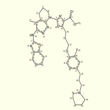 COC(=O)c1nc(N2CCCc3c2nnc(Nc2nc4ccccc4s2)c3C)sc1CCCOc1ccc(CCCN2CCCCC2)cc1F